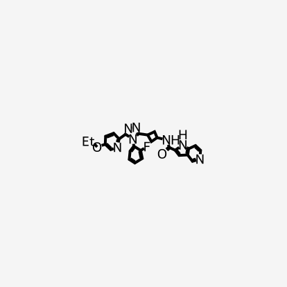 CCOc1ccc(-c2nnc(C3CC(NC(=O)c4cc5cnccc5[nH]4)C3)n2-c2ccccc2F)nc1